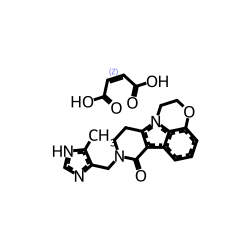 Cc1[nH]cnc1CN1CCc2c(c3cccc4c3n2CCO4)C1=O.O=C(O)/C=C\C(=O)O